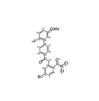 CCN(CC)C(=O)c1ccc(Br)cc1CC(=O)c1ccc(-c2cc(OC)ccc2F)cc1